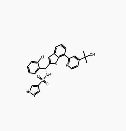 CC(C)(O)c1ccnc(-c2cccc3cc([C@H](NS(=O)(=O)c4cn[nH]c4)c4ccccc4Cl)sc23)c1